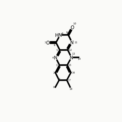 CC1C=c2nc3c(=O)[nH]c(=O)nc-3n(C)c2=CC1C